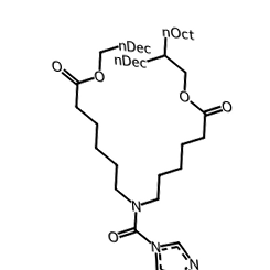 CCCCCCCCCCCOC(=O)CCCCCN(CCCCCC(=O)OCC(CCCCCCCC)CCCCCCCCCC)C(=O)n1ccnc1